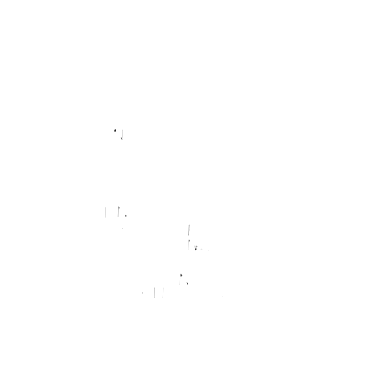 Cc1ccc(Nc2cccc3c2CCN([C]2CC2)C3)cc1-c1nc2ccccc2[nH]1